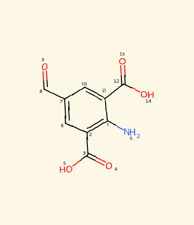 Nc1c(C(=O)O)cc(C=O)cc1C(=O)O